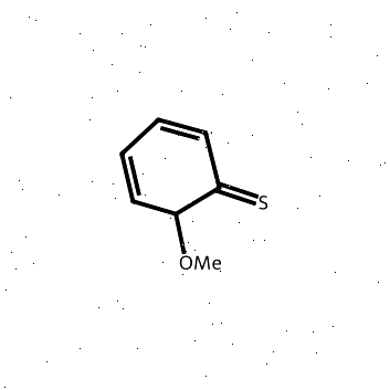 COC1C=CC=[C]C1=S